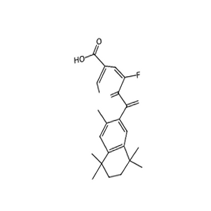 C=C(C(=C)c1cc2c(cc1C)C(C)(C)CCC2(C)C)/C(F)=C\C(=C/C)C(=O)O